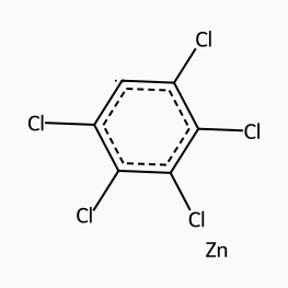 Clc1[c]c(Cl)c(Cl)c(Cl)c1Cl.[Zn]